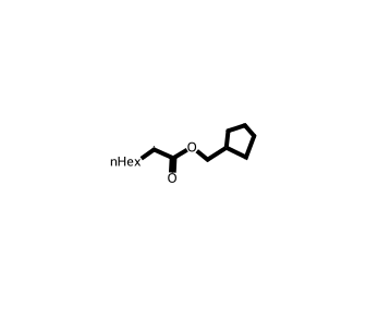 CCCCCC[CH]C(=O)OCC1CCCC1